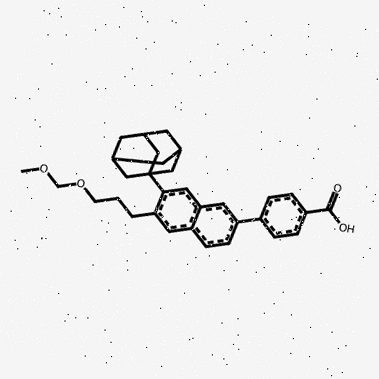 COCOCCCc1cc2ccc(-c3ccc(C(=O)O)cc3)cc2cc1C12CC3CC(CC(C3)C1)C2